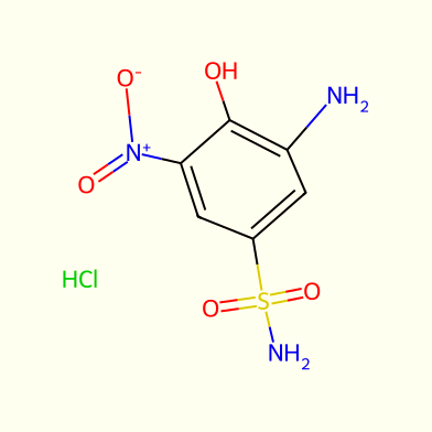 Cl.Nc1cc(S(N)(=O)=O)cc([N+](=O)[O-])c1O